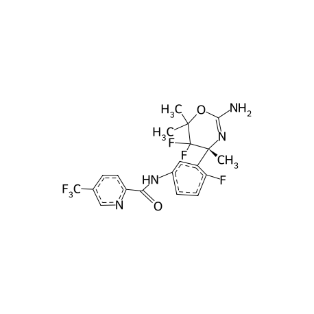 CC1(C)OC(N)=N[C@](C)(c2cc(NC(=O)c3ccc(C(F)(F)F)cn3)ccc2F)C1(F)F